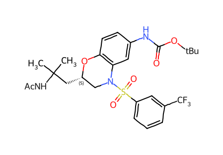 CC(=O)NC(C)(C)C[C@H]1CN(S(=O)(=O)c2cccc(C(F)(F)F)c2)c2cc(NC(=O)OC(C)(C)C)ccc2O1